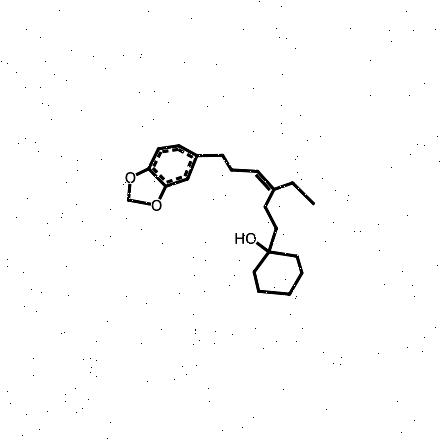 CCC(=CCCc1ccc2c(c1)OCO2)CCC1(O)CCCCC1